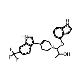 CC(O)C(Oc1cccc2[nH]ccc12)N1CC=C(c2c[nH]c3cc(C(F)(F)F)ccc23)CC1